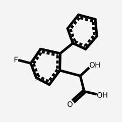 O=C(O)C(O)c1ccc(F)cc1-c1ccccc1